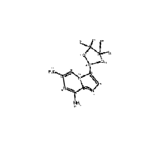 CC1(C)OB(c2cnc3c(N)nc(C(F)(F)F)cn23)OC1(C)C